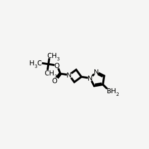 Bc1cnn(C2CN(C(=O)OC(C)(C)C)C2)c1